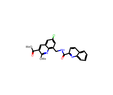 COC(=O)c1cc2cc(Cl)cc(CNC(=O)c3ccc4ccccc4n3)c2nc1OC